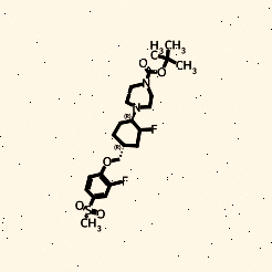 CC(C)(C)OC(=O)N1CCN([C@@H]2CC[C@@H](COc3ccc(S(C)(=O)=O)cc3F)CC2F)CC1